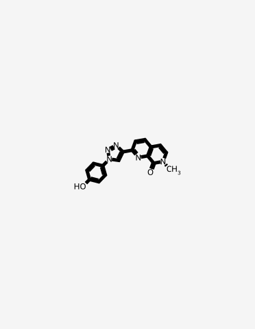 Cn1ccc2ccc(-c3cn(-c4ccc(O)cc4)nn3)nc2c1=O